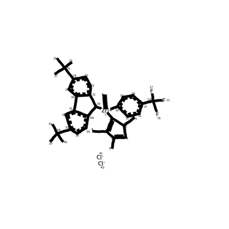 [CH2]=[Zr+2]([C]1=C(C)C(C)=CC1C)([c]1ccc(C(F)(F)F)cc1)[CH]1c2ccc(C(C)(C)C)cc2-c2cc(C(C)(C)C)ccc21.[Cl-].[Cl-]